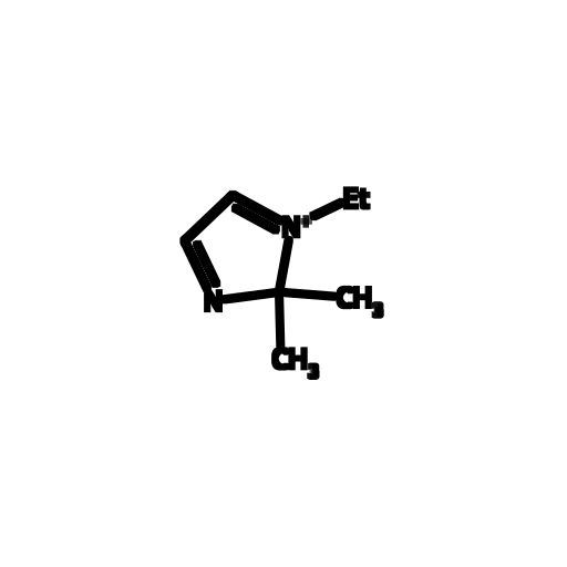 CC[N+]1=CC=NC1(C)C